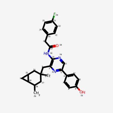 CCC1(Cc2nc(-c3ccc(O)cc3)cnc2NC(=O)Cc2ccc(F)cc2)CC(C)C2CC2C1